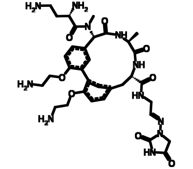 C[C@@H]1NC(=O)[C@@H](N(C)C(=O)[C@@H](N)CCN)c2ccc(OCCN)c(c2)-c2cc(ccc2OCCN)C[C@@H](C(=O)NC/C=N/N2CC(=O)NC2=O)NC1=O